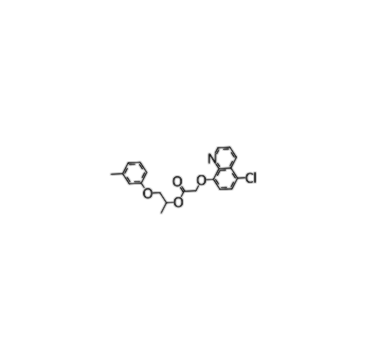 Cc1cccc(OCC(C)OC(=O)COc2ccc(Cl)c3cccnc23)c1